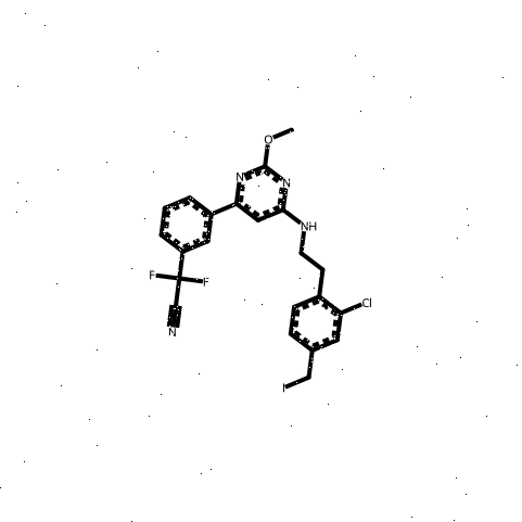 COc1nc(NCCc2ccc(CI)cc2Cl)cc(-c2cccc(C(F)(F)C#N)c2)n1